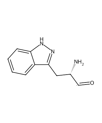 N[C@H]([C]=O)Cc1n[nH]c2ccccc12